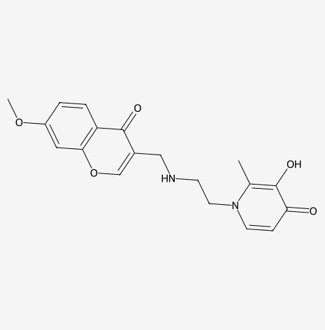 COc1ccc2c(=O)c(CNCCn3ccc(=O)c(O)c3C)coc2c1